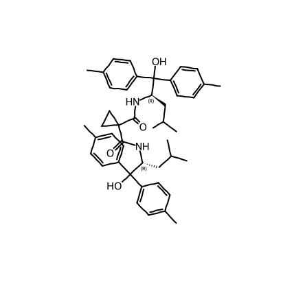 Cc1ccc(C(O)(c2ccc(C)cc2)[C@@H](CC(C)C)NC(=O)C2(C(=O)N[C@H](CC(C)C)C(O)(c3ccc(C)cc3)c3ccc(C)cc3)CC2)cc1